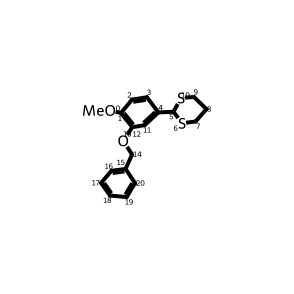 COc1ccc(C2SCCCS2)cc1OCc1ccccc1